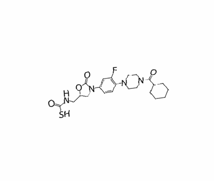 O=C(S)NCC1CN(c2ccc(N3CCN(C(=O)C4CCCCC4)CC3)c(F)c2)C(=O)O1